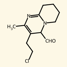 CC1=C(CCCl)C(C=O)N2CCCCC2=N1